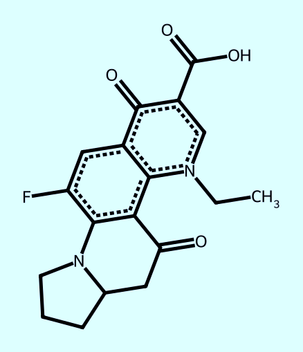 CCn1cc(C(=O)O)c(=O)c2cc(F)c3c(c21)C(=O)CC1CCCN31